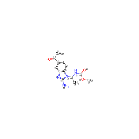 COC(=O)c1ccc2c(c1)nc(N)n2C(C)NC(=O)OC(C)(C)C